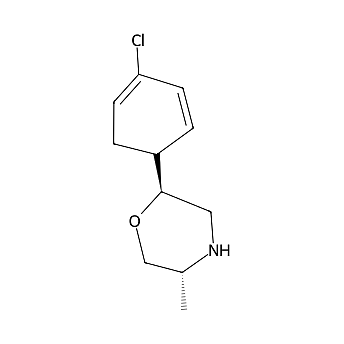 C[C@@H]1CO[C@@H](C2C=CC(Cl)=CC2)CN1